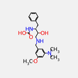 COc1cc(CNC[C@H](O)[C@H](Cc2ccccc2)NC(=O)O)cc(N(C)C)c1